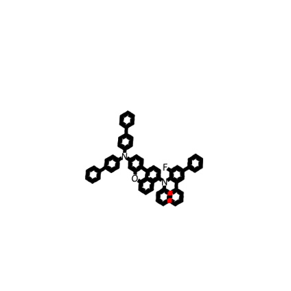 Fc1cc(-c2ccccc2)cc(-c2ccccc2)c1N(c1ccccc1)c1ccc2c3c(cccc13)Oc1cc(N(c3ccc(-c4ccccc4)cc3)c3ccc(-c4ccccc4)cc3)ccc1-2